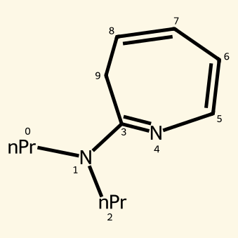 CCCN(CCC)C1=NC=CC=CC1